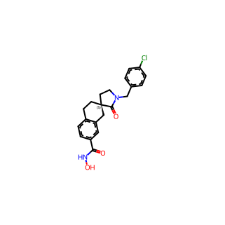 O=C(NO)c1ccc2c(c1)C[C@@]1(CC2)CCN(Cc2ccc(Cl)cc2)C1=O